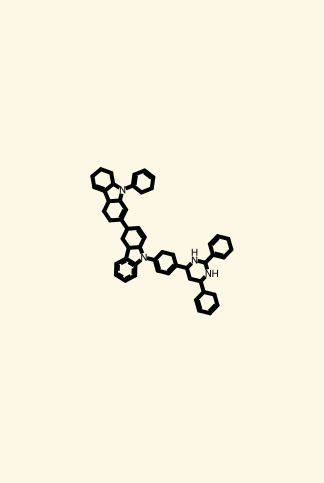 C1=CCCC(N2C3CCCC=C3C3CCC(C4C=CC5C(C4)c4ccccc4N5C4=CC=C(C5CC(C6C=CC=CC6)NC(C6=CCCC=C6)N5)CC4)=CC32)=C1